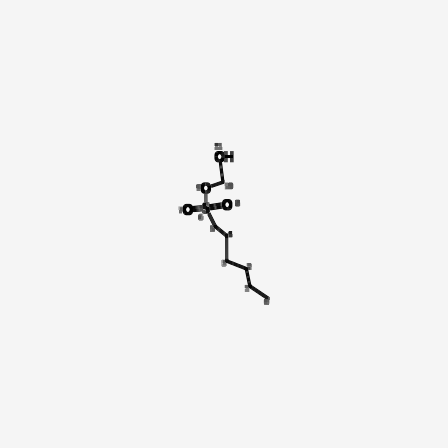 CCCCCCS(=O)(=O)OCO